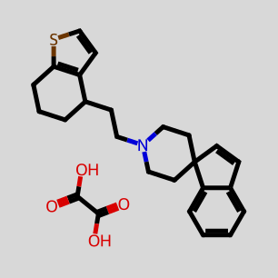 C1=CC2(CCN(CCC3CCCc4sccc43)CC2)c2ccccc21.O=C(O)C(=O)O